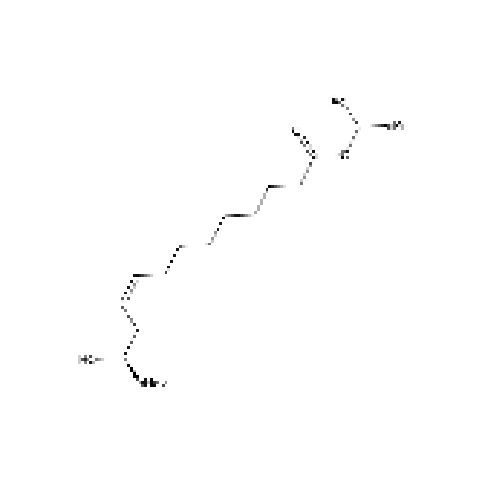 CCCCCC[C@@H](O)C/C=C\CCCCCCCC(=O)OC(CCC)C(C)=O